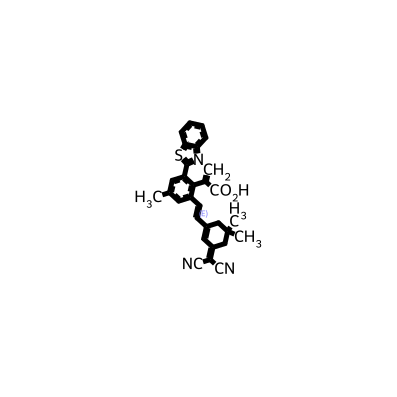 C=C(C(=O)O)c1c(/C=C/C2=CC(=C(C#N)C#N)CC(C)(C)C2)cc(C)cc1-c1nc2ccccc2s1